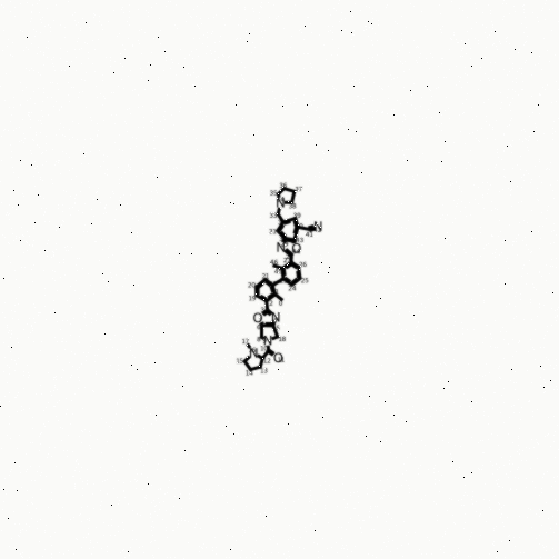 Cc1c(-c2nc3c(o2)CN(C(=O)C2CCCN2C)C3)cccc1-c1cccc(-c2nc3cc(CN4CCCC4)cc(C#N)c3o2)c1C